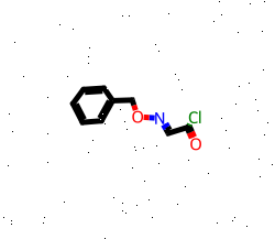 O=C(Cl)C=NOCc1ccccc1